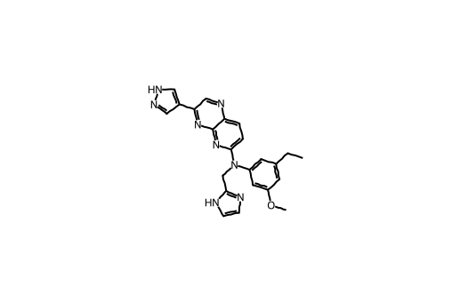 CCc1cc(OC)cc(N(Cc2ncc[nH]2)c2ccc3ncc(-c4cn[nH]c4)nc3n2)c1